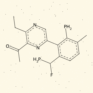 CCc1ncc(-c2c(C(F)P)ccc(C)c2P)nc1C(C)=O